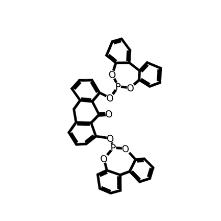 O=C1c2c(cccc2Op2oc3ccccc3c3ccccc3o2)Cc2cccc(Op3oc4ccccc4c4ccccc4o3)c21